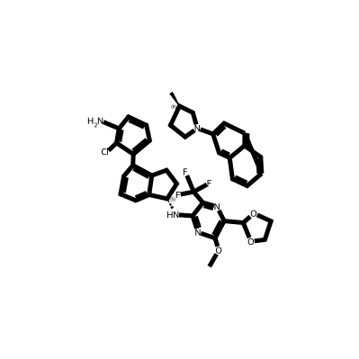 COc1nc(N[C@H]2CCc3c(-c4cccc(N)c4Cl)cccc32)c(C(F)(F)F)nc1C1OCCO1.C[C@@H]1CCN(c2cc3ccc4cc3c4c2)C1